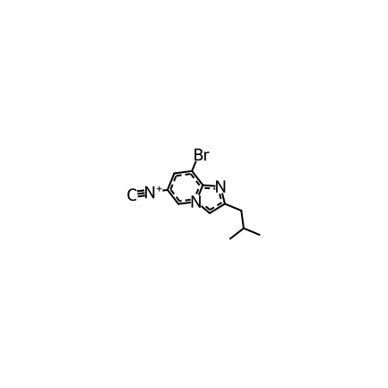 [C-]#[N+]c1cc(Br)c2nc(CC(C)C)cn2c1